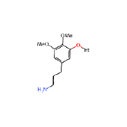 CCOc1cc(CCCN)cc(OC)c1OC